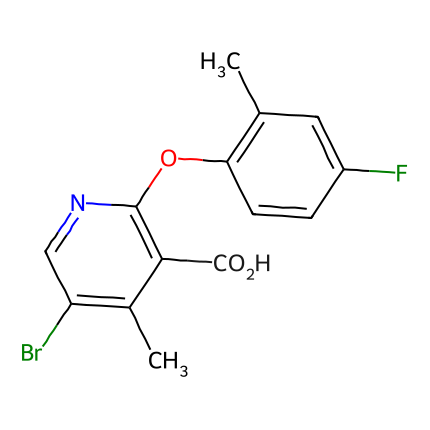 Cc1cc(F)ccc1Oc1ncc(Br)c(C)c1C(=O)O